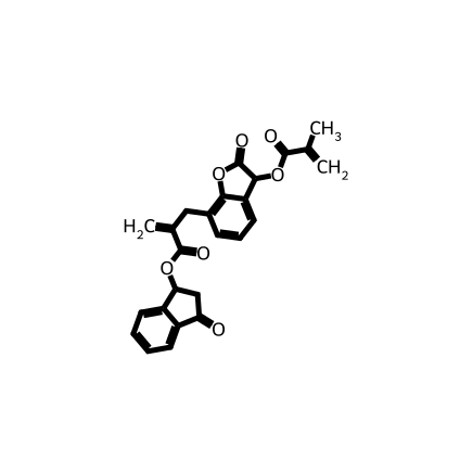 C=C(C)C(=O)OC1C(=O)Oc2c(CC(=C)C(=O)OC3CC(=O)c4ccccc43)cccc21